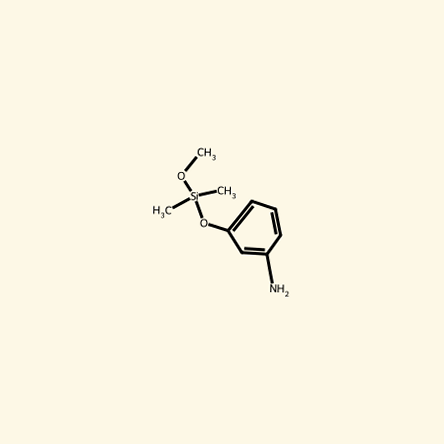 CO[Si](C)(C)Oc1cccc(N)c1